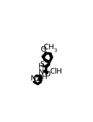 COc1ccc2cc(C(=O)N[C@H]3CN4CCC3CC4)sc2c1.Cl